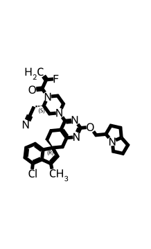 C=C(F)C(=O)N1CCN(c2nc(OCC3CCC4CCCN43)nc3c2CC[C@]2(C=C(C)c4c(Cl)cccc42)C3)C[C@@H]1CC#N